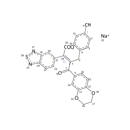 N#Cc1ccc(C/C(C(=O)c2ccc3c(c2)OCCO3)=C(\C(=O)[O-])c2ccc3nsnc3c2)cc1.[Na+]